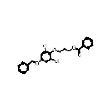 O=C(OCCCOc1c(Cl)cc(OCc2ccccc2)cc1Cl)c1ccccc1